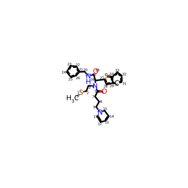 CSCCN(C(=O)CCCN1C=CC=CC1)C(C(=O)NCc1ccccc1)c1cc2ccccc2s1